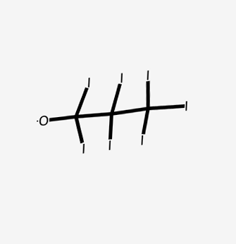 [O]C(I)(I)C(I)(I)C(I)(I)I